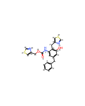 O=C(Nc1cc(Cc2ccccc2)cc(O)c1Cc1cscn1)OCc1cscn1